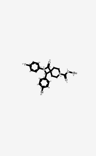 CC(C)(C)OC(=O)N1CCC2(CC1)C(=O)N(c1ccc(F)cc1)C2c1ccc(Br)cc1